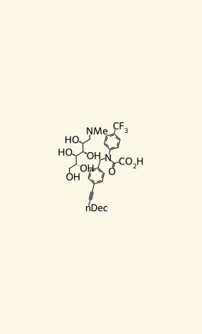 CCCCCCCCCCC#Cc1ccc(CN(C(=O)C(=O)O)c2ccc(C(F)(F)F)cc2)cc1.CNC[C@H](O)[C@@H](O)[C@H](O)[C@H](O)CO